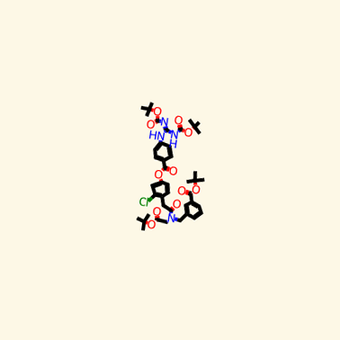 CC(C)(C)OC(=O)CN(Cc1cccc(C(=O)OC(C)(C)C)c1)C(=O)Cc1ccc(OC(=O)c2ccc(N/C(=N\C(=O)OC(C)(C)C)NC(=O)OC(C)(C)C)cc2)cc1Cl